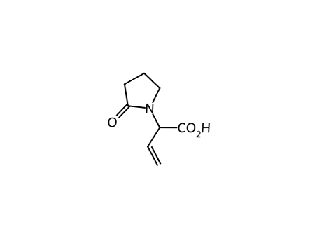 C=CC(C(=O)O)N1CCCC1=O